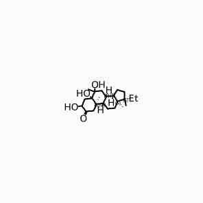 CC[C@@]1(C)CC[C@H]2[C@@H]3CC(C)(O)C4(O)CC(O)C(=O)C[C@]4(C)[C@H]3CC[C@@]21C